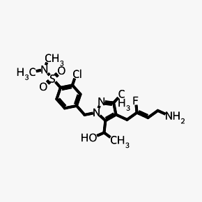 Cc1nn(Cc2ccc(S(=O)(=O)N(C)C)c(Cl)c2)c(C(C)O)c1CC(F)=CCN